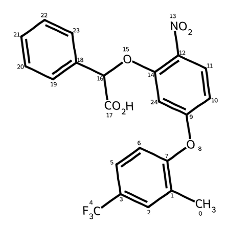 Cc1cc(C(F)(F)F)ccc1Oc1ccc([N+](=O)[O-])c(OC(C(=O)O)c2ccccc2)c1